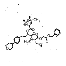 CN[C@@H](CC(C)(C)F)C(=O)O[C@H](CCc1ccc(C2CCOCC2)cc1)C(=O)N(C)[C@@H](CC1CC1)C(=O)OCC(=O)OCc1ccccc1